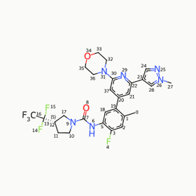 Cc1cc(F)c(NC(=O)N2CC[C@H](C(F)(F)C(F)(F)F)C2)cc1-c1cc(-c2cnn(C)c2)nc(N2CCOCC2)c1